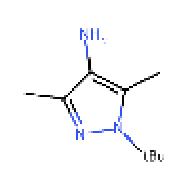 Cc1nn(C(C)(C)C)c(C)c1N